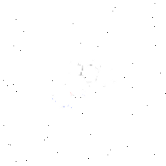 N/C=N\C(=O)Nc1c2c(cc3c1CC3)CCC2